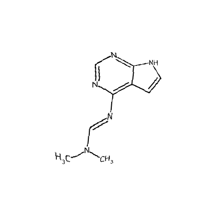 CN(C)/C=N/c1ncnc2[nH]ccc12